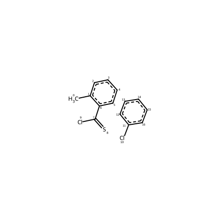 Cc1ccccc1C(=S)Cl.Clc1ccccc1